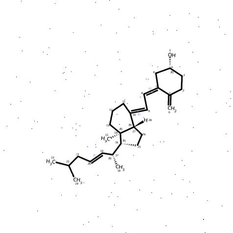 C=C1CC[C@@H](O)C/C1=C/C=C1\CCC[C@]2(C)[C@@H]([C@H](C)/C=C/CC(C)C)CC[C@@H]12